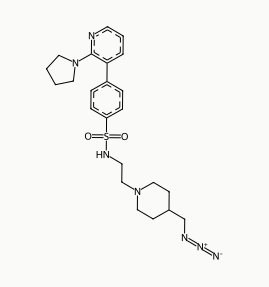 [N-]=[N+]=NCC1CCN(CCNS(=O)(=O)c2ccc(-c3cccnc3N3CCCC3)cc2)CC1